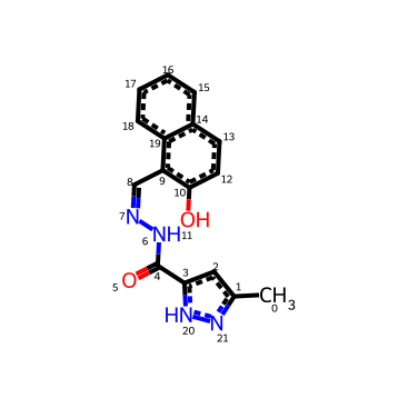 Cc1cc(C(=O)N/N=C\c2c(O)ccc3ccccc23)[nH]n1